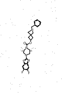 C[C@@H]1CN(c2nc3cc(F)c(F)cc3s2)C[C@H](C)N1C(=O)OC1CC2(C1)CN(Cc1ccccc1)C2